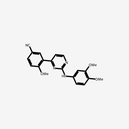 COc1ccc(Nc2nccc(-c3cc(C#N)ccc3OC)n2)cc1OC